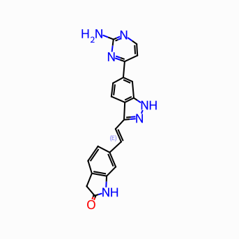 Nc1nccc(-c2ccc3c(/C=C/c4ccc5c(c4)NC(=O)C5)n[nH]c3c2)n1